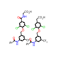 CC(C)C(=O)Nc1cc(COc2c(Cl)cc(C(=O)NCC(=O)O)cc2Cl)cc(C(F)(F)F)c1.CC(C)C(=O)Nc1cc(COc2c(Cl)cc(CC(=O)O)cc2Cl)cc(C(F)(F)F)c1